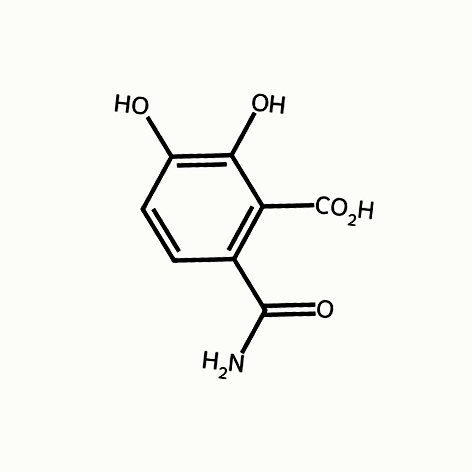 NC(=O)c1ccc(O)c(O)c1C(=O)O